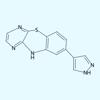 c1cnc2c(n1)Nc1cc(-c3cn[nH]c3)ccc1S2